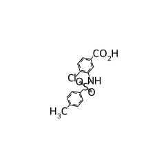 Cc1ccc(S(=O)(=O)Nc2cc(C(=O)O)ccc2Cl)cc1